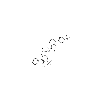 COC1=C(c2ccccc2)C2CC(C)C(S(C)(C)C3C(C)CC4C(c5ccc(C(C)(C)C)cc5)=CC=CC43)C2C=C1C(C)(C)C